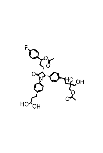 CC(=O)OCC(O)(CO)CCc1ccc([C@@H]2[C@@H](CCC(OC(C)=O)c3ccc(F)cc3)C(=O)N2c2ccc(CCC(O)O)cc2)cc1